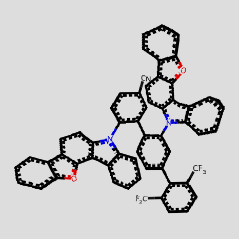 N#Cc1ccc(-n2c3ccccc3c3c4oc5ccccc5c4ccc32)c(-c2ccc(-c3c(C(F)(F)F)cccc3C(F)(F)F)cc2-n2c3ccccc3c3c4oc5ccccc5c4ccc32)c1